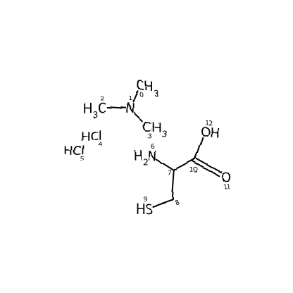 CN(C)C.Cl.Cl.NC(CS)C(=O)O